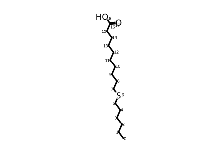 CCCCCCSCCCCCCCCCC(=O)O